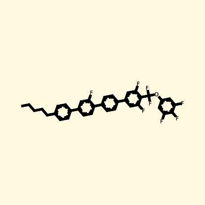 CCCCCc1ccc(-c2ccc(-c3ccc(-c4cc(F)c(C(F)(F)Oc5cc(F)c(F)c(F)c5)c(F)c4)cc3)c(F)c2)cc1